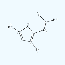 N#Cc1cc(Br)c(OC(F)F)s1